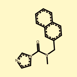 CN(Cc1ccc2ccccc2c1)C(=O)n1ccnc1